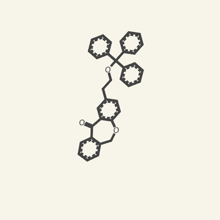 O=C1c2ccccc2COc2ccc(CCOC(c3ccccc3)(c3ccccc3)c3ccccc3)cc21